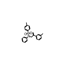 C=C(CN(c1ccccc1)S(=O)(=O)c1ccc(C)cc1)c1cccc(C)c1